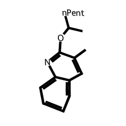 CCCCCC(C)Oc1nc2ccccc2cc1C